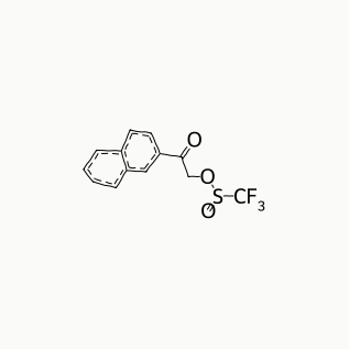 O=C(COS(=O)C(F)(F)F)c1ccc2ccccc2c1